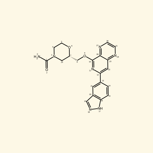 NC(=O)N1CCO[C@H](COc2nc(-c3ccc4[nH]ncc4c3)cc3nccnc23)C1